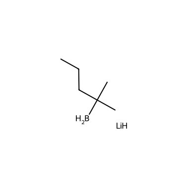 BC(C)(C)CCC.[LiH]